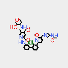 COCc1cc(C(=O)Nc2cccc(-c3cccc(-c4ccc(CN5CC(NC(C)=O)C5)c(OC)n4)c3Cl)c2Cl)ncc1CN[C@@H]1CCOC[C@H]1O